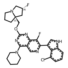 Fc1c(-c2c[nH]c3cccc(Cl)c23)ncc2c(N3CCCCC3)nc(OC[C@@]34CCCN3C[C@H](F)C4)nc12